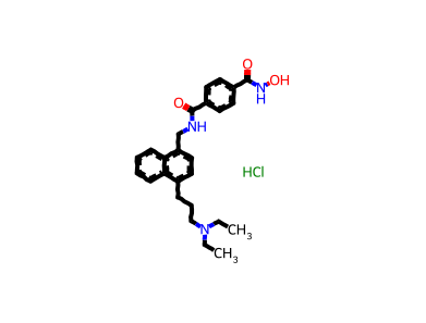 CCN(CC)CCCc1ccc(CNC(=O)c2ccc(C(=O)NO)cc2)c2ccccc12.Cl